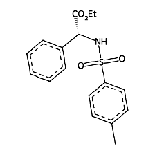 CCOC(=O)[C@H](NS(=O)(=O)c1ccc(C)cc1)c1ccccc1